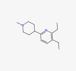 CCc1ccc(C2CCN(C)CC2)nc1CC